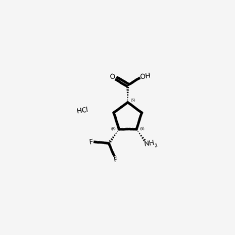 Cl.N[C@H]1C[C@@H](C(=O)O)C[C@H]1C(F)F